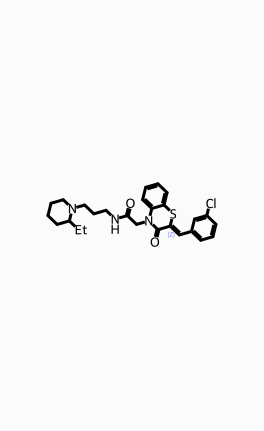 CCC1CCCCN1CCCNC(=O)CN1C(=O)/C(=C/c2cccc(Cl)c2)Sc2ccccc21